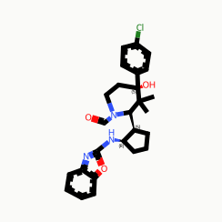 CC1(C)C([C@H]2CCC[C@H]2Nc2nc3ccccc3o2)N(C=O)CC[C@]1(O)c1ccc(Cl)cc1